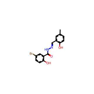 Cc1ccc(O)c(/C=N/NC(=O)c2cc(Br)ccc2O)c1